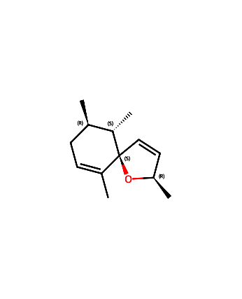 CC1=CC[C@@H](C)[C@H](C)[C@]12C=C[C@@H](C)O2